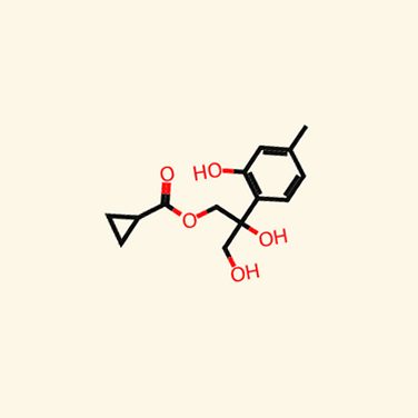 Cc1ccc(C(O)(CO)COC(=O)C2CC2)c(O)c1